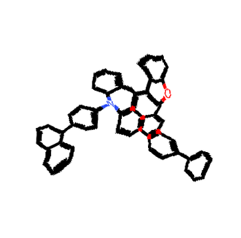 c1ccc(-c2ccc(-c3ccc(N(c4ccc(-c5cccc6ccccc56)cc4)c4ccccc4-c4cc5ccccc5c5oc6ccccc6c45)cc3)cc2)cc1